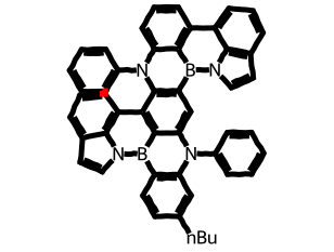 CCCCc1ccc2c(c1)N(c1ccccc1)c1cc3c(c4c1B2n1ccc2cccc-4c21)N(c1ccccc1)c1cccc2c1B3n1ccc3cccc-2c31